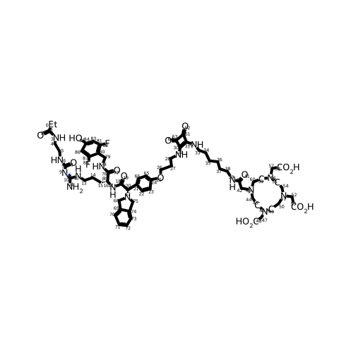 CCC(=O)NCCNC(=O)/N=C(/N)NCCC[C@@H](NC(=O)[C@H](c1ccc(OCCCNc2c(NCCCCCCNC(=O)CN3CCN(CC(=O)O)CCN(CC(=O)O)CCN(CC(=O)O)CC3)c(=O)c2=O)cc1)N1Cc2ccccc2C1)C(=O)NCc1c(F)cc(O)cc1F